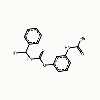 CC(C)C(NC(=O)Oc1cccc(NC(=O)C(C)(C)C)c1)c1ccccc1